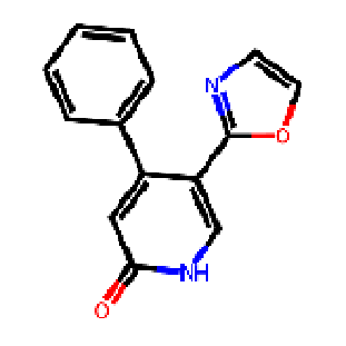 O=c1cc(-c2ccccc2)c(-c2ncco2)c[nH]1